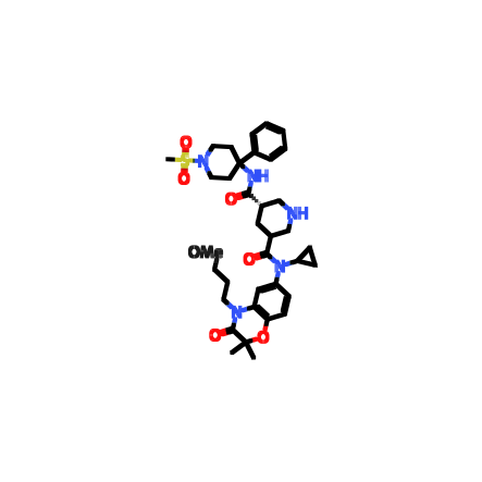 COCCCN1C(=O)C(C)(C)Oc2ccc(N(C(=O)C3CNC[C@@H](C(=O)NC4(c5ccccc5)CCN(S(C)(=O)=O)CC4)C3)C3CC3)cc21